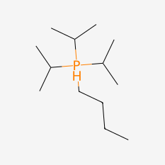 CCCC[PH](C(C)C)(C(C)C)C(C)C